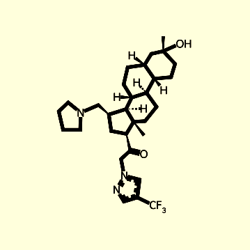 C[C@@]1(O)CC[C@H]2[C@H](CC[C@@H]3[C@@H]2CC[C@@]2(C)[C@H]3[C@H](CN3CCCC3)C[C@@H]2C(=O)Cn2cc(C(F)(F)F)cn2)C1